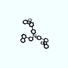 c1cc(-c2cccc3ccccc23)cc(N(c2ccc(-c3ccc4oc5ccccc5c4c3)cc2)c2ccc(-c3cccc4c3oc3ccccc34)cc2)c1